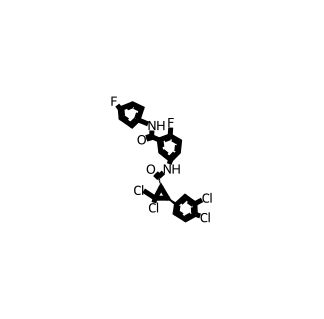 O=C(Nc1ccc(F)cc1)c1cc(NC(=O)[C@@H]2[C@@H](c3ccc(Cl)c(Cl)c3)C2(Cl)Cl)ccc1F